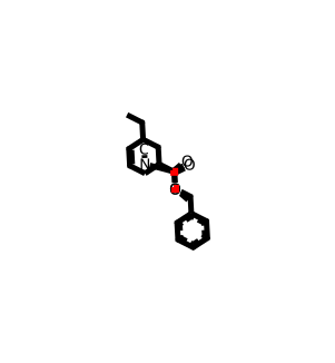 CCC12C=CC(C(C(=O)OC)C1)N(C(=O)OCc1ccccc1)C2